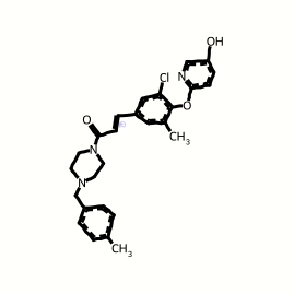 Cc1ccc(CN2CCN(C(=O)/C=C/c3cc(C)c(Oc4ccc(O)cn4)c(Cl)c3)CC2)cc1